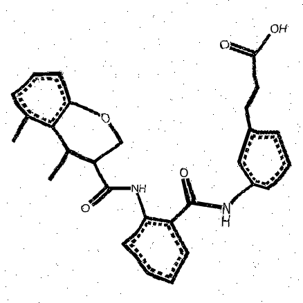 Cc1cccc2c1C(C)C(C(=O)Nc1ccccc1C(=O)Nc1cccc(CCC(=O)O)c1)CO2